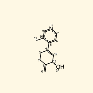 C=C1CCC(c2ccncc2C)=C[C@H]1O